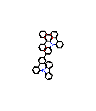 c1ccc(-c2cccc(-c3ccccc3N(c3ccc(-c4ccc(-c5ccccc5-n5c6ccccc6c6ccccc65)cc4)cc3)c3ccccc3-c3ccccc3)c2)cc1